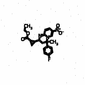 CCOC(=O)C1CC1C1CC(C)(c2ccc(F)cc2)N2C=C([N+](=O)[O-])C=CC2=N1